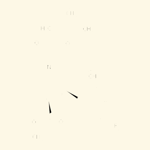 COC(=O)[C@H]1CCN(C(=O)OC(C)(C)C)C[C@H]1c1ccc(F)cc1C